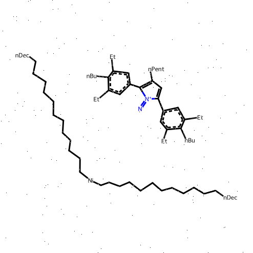 CCCCCC1=C(c2cc(CC)c(CCCC)c(CC)c2)[N+](=[N-])C(c2cc(CC)c(CCCC)c(CC)c2)=C1.CCCCCCCCCCCCCCCCCCCCC[CH2][Ni][CH2]CCCCCCCCCCCCCCCCCCCCC